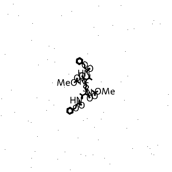 COC(=O)CN1C(=O)C(C(C)=CNC(=O)COc2ccccc2)C1SSC1C(C(C)=CNC(=O)COc2ccccc2)C(=O)N1CC(=O)OC